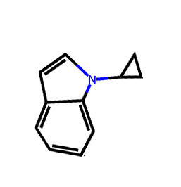 [c]1ccc2ccn(C3CC3)c2c1